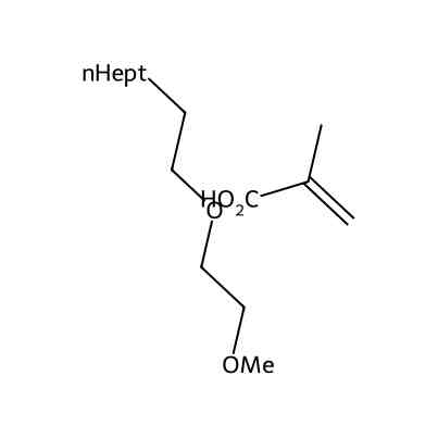 C=C(C)C(=O)O.CCCCCCCCCOCCOC